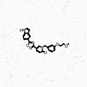 COCCOc1cccc(Cn2cc(-c3noc(-c4ccc5[nH]ccc5c4)n3)ccc2=O)c1